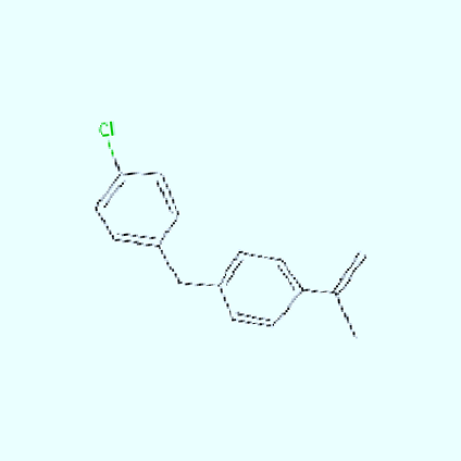 C=C(C)c1ccc(Cc2ccc(Cl)cc2)cc1